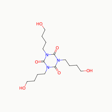 O=c1n(CCCCO)c(=O)n(CCCCO)c(=O)n1CCCCO